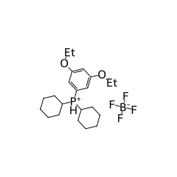 CCOc1cc(OCC)cc([PH+](C2CCCCC2)C2CCCCC2)c1.F[B-](F)(F)F